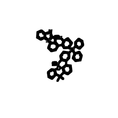 CC(C)(C)c1ccc([Si](c2ccccc2)(c2ccccc2)c2ccc(C(C)(C)C)c(-c3cccc4c3oc3nc5ccccc5n34)c2)cc1-c1cccc2c1Oc1ccccc1C2(C)C